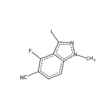 Cn1nc(I)c2c(F)c(C#N)ccc21